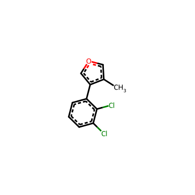 Cc1cocc1-c1cccc(Cl)c1Cl